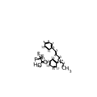 CC[N+](=CC=Cc1ccccc1)c1ccccc1.O=C(O)C(F)(F)F